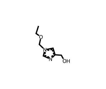 CCOCn1cnc(CO)c1